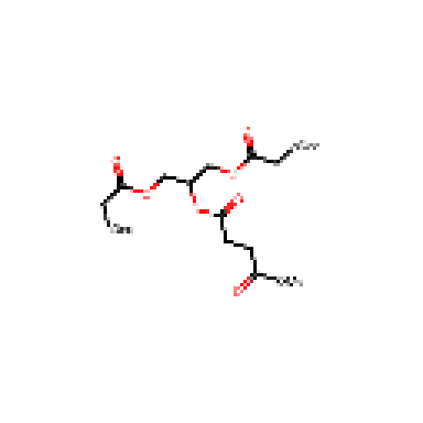 CCCCCCCCCCCC(=O)OCC(COC(=O)CCCCCCCCCCC)OC(=O)CCC(=O)OC